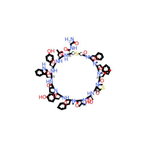 CCCC[C@H]1C(=O)N2CSC[C@@H]2C(=O)N[C@@H](CO)C(=O)N[C@@H](C(C)C)C(=O)N(C)C(Cc2ccccc2)C(=O)N[C@@H](Cc2ccc(O)cc2)C(=O)N2CCC[C@@H]2C(=O)N[C@@H](Cc2c[nH]c3ccccc23)C(=O)N[C@@H](Cc2ccc(O)cc2)C(=O)N[C@@H](CC(C)C)C(=O)N[C@H](C(=O)NCC(N)=O)CSCC(=O)N[C@@H](Cc2ccccc2)C(=O)N(C)[C@@H](Cc2ccccc2)C(=O)N1C